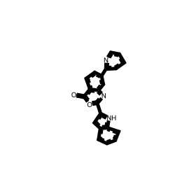 O=c1oc(-c2cc3ccccc3[nH]2)nc2cc(-c3ccccn3)ccc12